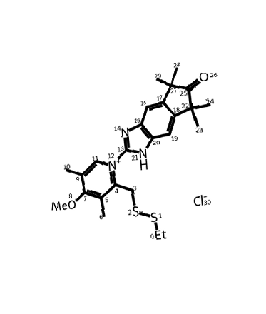 CCSSCc1c(C)c(OC)c(C)c[n+]1-c1nc2cc3c(cc2[nH]1)C(C)(C)C(=O)C3(C)C.[Cl-]